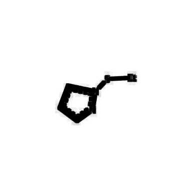 CCSn1cccn1